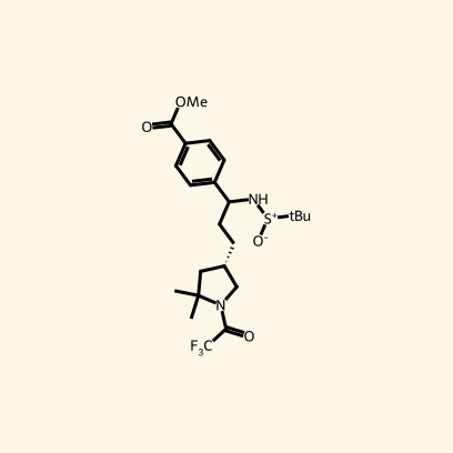 COC(=O)c1ccc(C(CC[C@@H]2CN(C(=O)C(F)(F)F)C(C)(C)C2)N[S+]([O-])C(C)(C)C)cc1